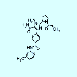 C=CC(=O)N1CCCC1c1nc(-c2ccc(C(=O)Nc3cc(C)ccn3)cc2)c(C(N)=O)n1N